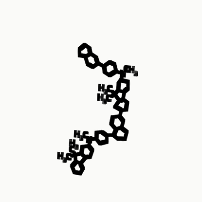 CN(c1ccc(-c2cccc3cc(-c4ccc5c(c4)C(C)(C)c4cc(N(C)c6ccc(-c7ccc8ccccc8c7)cc6)ccc4-5)ccc23)cc1)c1ccc2c(c1)C(C)(C)c1ccccc1-2